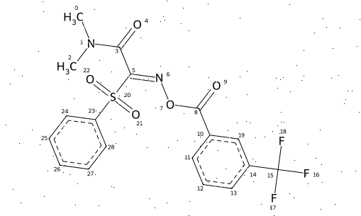 CN(C)C(=O)C(=NOC(=O)c1cccc(C(F)(F)F)c1)S(=O)(=O)c1ccccc1